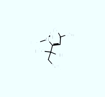 CCCCC(C=C(N(C)C)C(C)(C)CN)CC